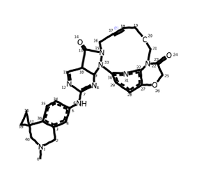 CN1Cc2cc(NC3=NC4C(C=N3)C(=O)N3C/C=C/CCCN5C(=O)COc6ccc(nc65)N43)ccc2C2(CC2)C1